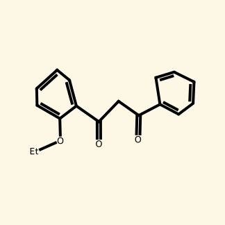 CCOc1ccccc1C(=O)CC(=O)c1ccccc1